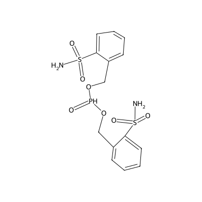 NS(=O)(=O)c1ccccc1CO[PH](=O)OCc1ccccc1S(N)(=O)=O